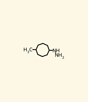 CC1CCCC(NN)CCC1